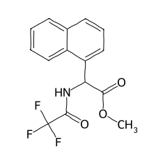 COC(=O)C(NC(=O)C(F)(F)F)c1cccc2ccccc12